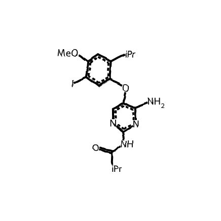 COc1cc(C(C)C)c(Oc2cnc(NC(=O)C(C)C)nc2N)cc1I